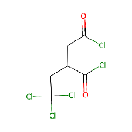 O=C(Cl)CC(CC(Cl)(Cl)Cl)C(=O)Cl